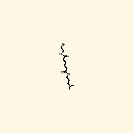 CN(C)CCCNC(=O)CCCCC(=O)NCCS